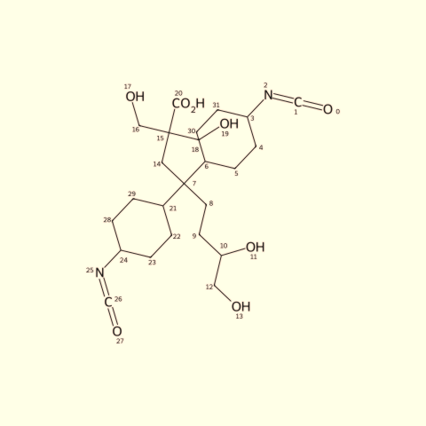 O=C=NC1CCC(C(CCC(O)CO)(CC(CO)(CO)C(=O)O)C2CCC(N=C=O)CC2)CC1